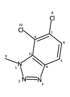 Cn1nnc2ccc(Cl)c(Cl)c21